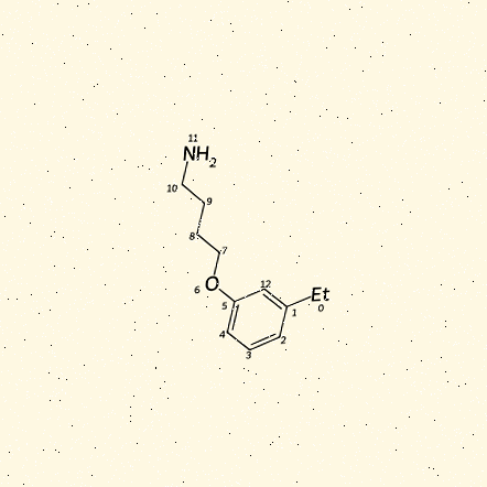 CCc1cccc(OCCCCN)c1